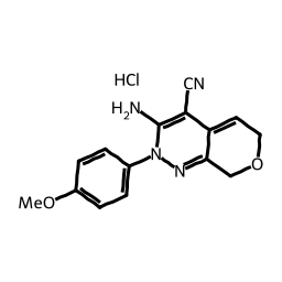 COc1ccc(N2N=C3COCC=C3C(C#N)=C2N)cc1.Cl